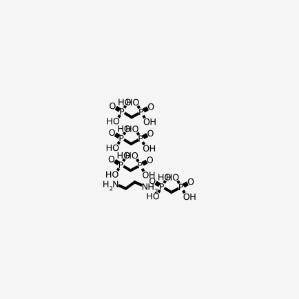 NCCN.O=P(O)(O)CP(=O)(O)O.O=P(O)(O)CP(=O)(O)O.O=P(O)(O)CP(=O)(O)O.O=P(O)(O)CP(=O)(O)O